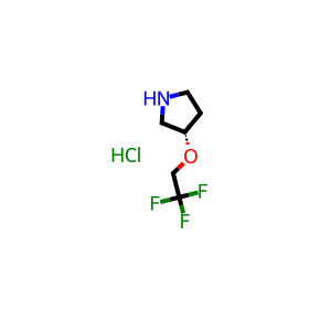 Cl.FC(F)(F)CO[C@H]1CCNC1